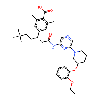 CCOc1ccccc1OC1CCCN(c2cncc(NC(=O)C[C@H](CC[Si](C)(C)C)c3cc(C)c(C(=O)O)c(C)c3)n2)C1